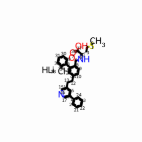 CSCC[C@H](NC(=O)c1ccc(CCc2cncc(-c3ccccc3)c2)cc1-c1ccccc1C)C(=O)O.[LiH]